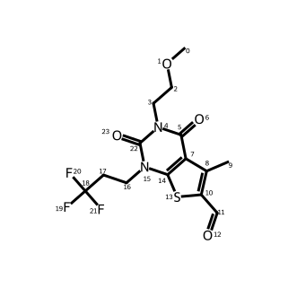 COCCn1c(=O)c2c(C)c(C=O)sc2n(CCC(F)(F)F)c1=O